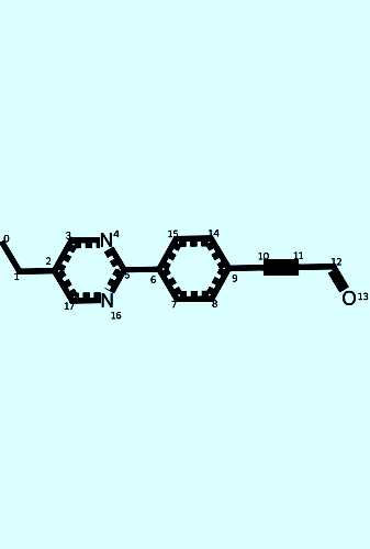 CCc1cnc(-c2ccc(C#CC=O)cc2)nc1